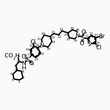 O=C(O)C(CC1CCCCC1)NS(=O)(=O)c1ccc(N2CCC(CCCC3CCN(S(=O)(=O)c4cc(Br)c(Cl)s4)CC3)CC2)c(Cl)c1